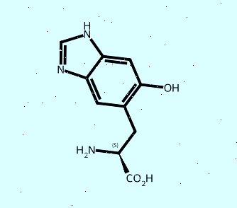 N[C@@H](Cc1cc2nc[nH]c2cc1O)C(=O)O